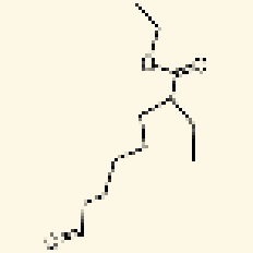 CCOC(=O)C(CC)CCCCCC=O